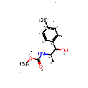 C[C@@H](NC(=O)OC(C)(C)C)C(O)c1ccc(C(C)(C)C)cc1